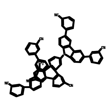 N#Cc1cccc(-c2ccc3c(c2)c2cc(-c4cccc(C#N)c4)ccc2n3-c2ccc(-c3ccc(C#N)cc3C(F)(F)F)c(-c3cc(C#N)ccc3-n3c4ccc(-c5cccc(C#N)c5)cc4c4cc(-c5cccc(C#N)c5)ccc43)c2)c1